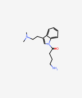 CN(C)CCc1cn(C(=O)CCCN)c2ccccc12